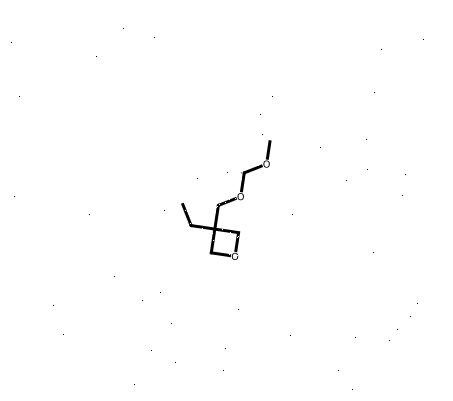 CCC1(CO[CH]OC)COC1